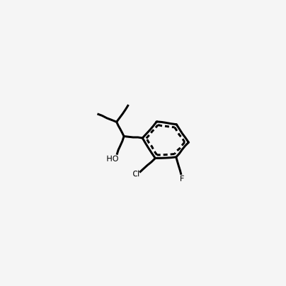 CC(C)C(O)c1cccc(F)c1Cl